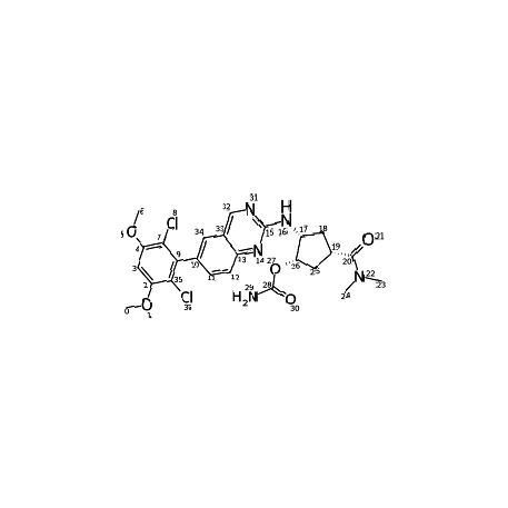 COc1cc(OC)c(Cl)c(-c2ccc3nc(N[C@@H]4C[C@H](C(=O)N(C)C)C[C@@H]4OC(N)=O)ncc3c2)c1Cl